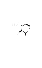 CC1C=CSC(C)C1=O